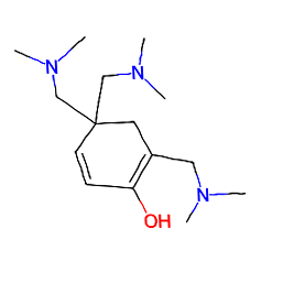 CN(C)CC1=C(O)C=CC(CN(C)C)(CN(C)C)C1